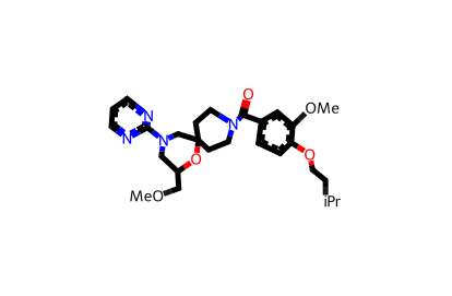 COCC1CN(c2ncccn2)CC2(CCN(C(=O)c3ccc(OCCC(C)C)c(OC)c3)CC2)O1